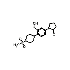 CS(=O)(=O)N1CCN(c2ccc(N3CCCC3=O)cc2CO)CC1